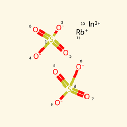 O=S(=O)([O-])[O-].O=S(=O)([O-])[O-].[In+3].[Rb+]